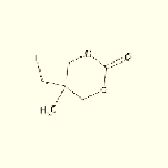 CC1(CI)COC(=O)OC1